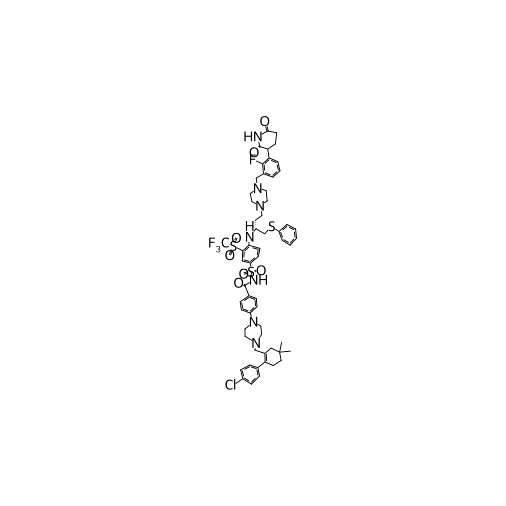 CC1(C)CCC(c2ccc(Cl)cc2)=C(CN2CCN(c3ccc(C(=O)NS(=O)(=O)c4ccc(N[C@H](CCN5CCN(Cc6cccc(C7CCC(=O)NC7=O)c6F)CC5)CSc5ccccc5)c(S(=O)(=O)C(F)(F)F)c4)cc3)CC2)C1